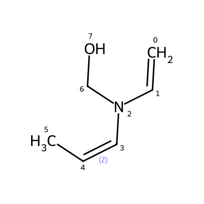 C=CN(/C=C\C)CO